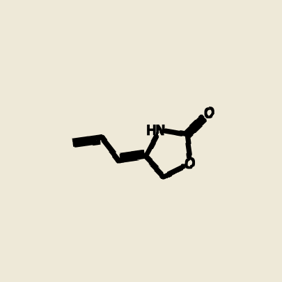 C=CC=C1COC(=O)N1